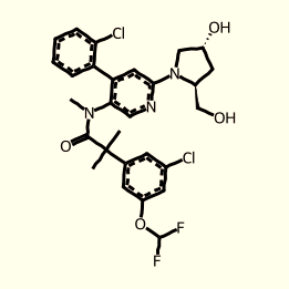 CN(C(=O)C(C)(C)c1cc(Cl)cc(OC(F)F)c1)c1cnc(N2C[C@H](O)C[C@H]2CO)cc1-c1ccccc1Cl